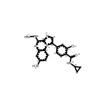 CCCCNc1nc2cc(N)ccc2n2c(-c3ccc(C(=O)NC4CC4)c(Cl)c3)cnc12